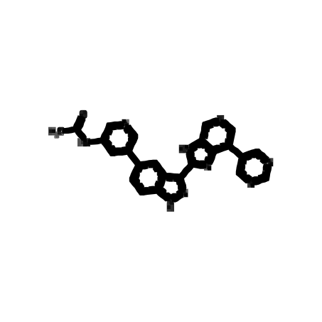 CC(=O)Nc1cncc(-c2ccc3[nH]nc(-c4nc5c(-c6cncnc6)cncc5[nH]4)c3c2)c1